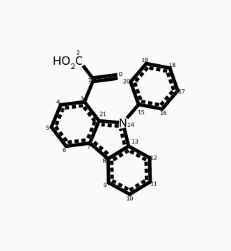 C=C(C(=O)O)c1cccc2c3ccccc3n(-c3ccccc3)c12